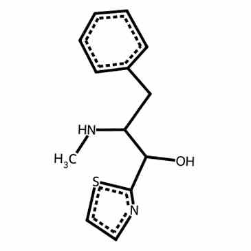 CNC(Cc1ccccc1)C(O)c1nccs1